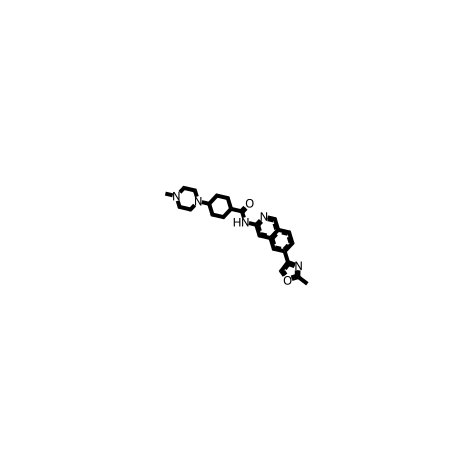 Cc1nc(-c2ccc3cnc(NC(=O)C4CCC(N5CCN(C)CC5)CC4)cc3c2)co1